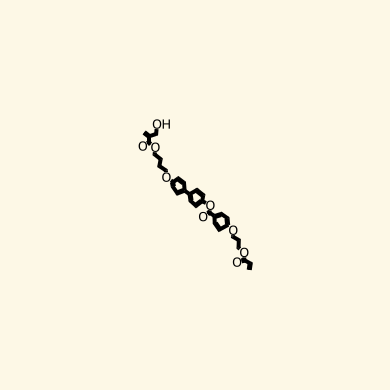 C=CC(=O)OCCCOc1ccc(C(=O)Oc2ccc(-c3ccc(OCCCCOC(=O)C(=C)CO)cc3)cc2)cc1